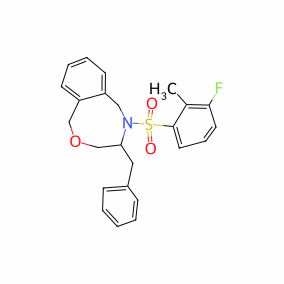 Cc1c(F)cccc1S(=O)(=O)N1Cc2ccccc2COCC1Cc1ccccc1